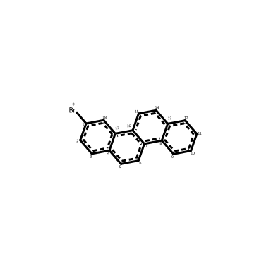 Brc1ccc2ccc3c4ccccc4ccc3c2c1